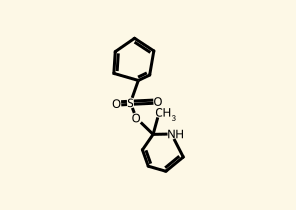 CC1(OS(=O)(=O)c2ccccc2)C=CC=CN1